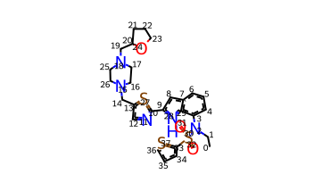 CCN(c1cccc2cc(-c3ncc(CN4CCN(CC5CCCO5)CC4)s3)[nH]c12)S(=O)(=O)c1cccs1